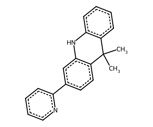 CC1(C)c2ccccc2Nc2cc(-c3ccccn3)ccc21